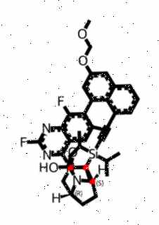 COCOc1cc(-c2c(F)cc3c(N4C[C@H]5CC[C@@H](C4)N5C(=O)O)nc(F)nc3c2F)c2c(C#C[Si](C(C)C)(C(C)C)C(C)C)cccc2c1